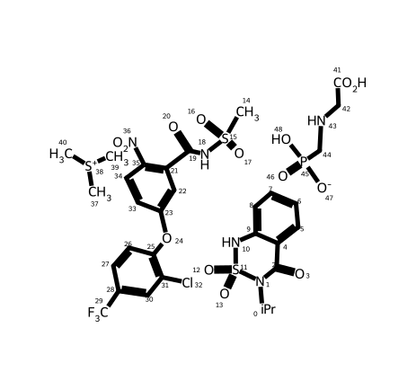 CC(C)N1C(=O)c2ccccc2NS1(=O)=O.CS(=O)(=O)NC(=O)c1cc(Oc2ccc(C(F)(F)F)cc2Cl)ccc1[N+](=O)[O-].C[S+](C)C.O=C(O)CNCP(=O)([O-])O